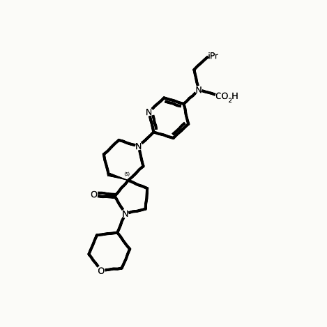 CC(C)CN(C(=O)O)c1ccc(N2CCC[C@]3(CCN(C4CCOCC4)C3=O)C2)nc1